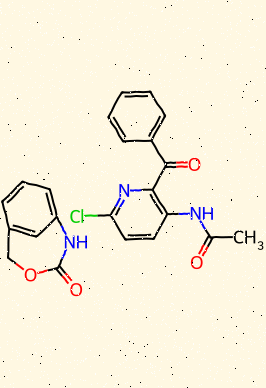 CC(=O)Nc1ccc(Cl)nc1C(=O)c1ccccc1.O=C1Nc2cccc(c2)CO1